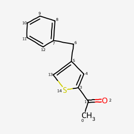 CC(=O)c1cc(Cc2ccccc2)cs1